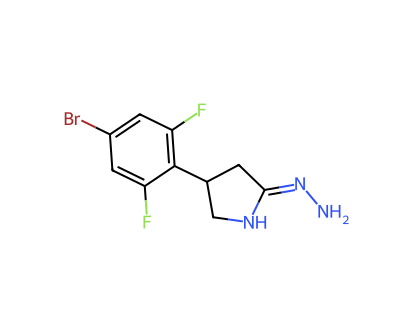 N/N=C1/CC(c2c(F)cc(Br)cc2F)CN1